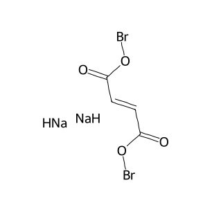 O=C(C=CC(=O)OBr)OBr.[NaH].[NaH]